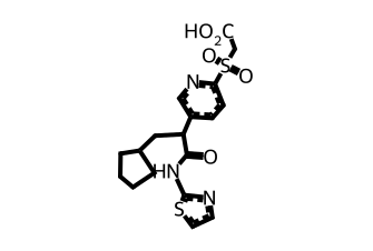 O=C(O)CS(=O)(=O)c1ccc(C(CC2CCCC2)C(=O)Nc2nccs2)cn1